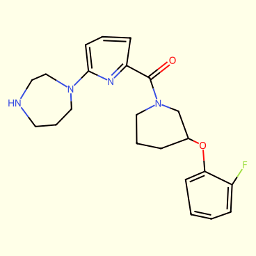 O=C(c1cccc(N2CCCNCC2)n1)N1CCCC(Oc2ccccc2F)C1